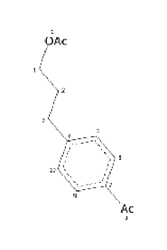 CC(=O)OCCCc1ccc(C(C)=O)cc1